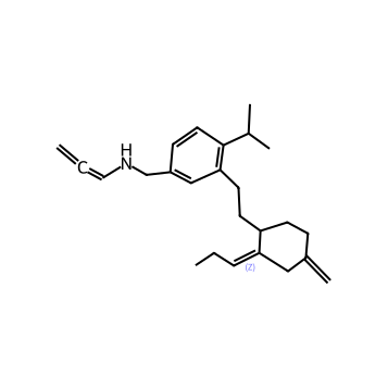 C=C=CNCc1ccc(C(C)C)c(CCC2CCC(=C)C/C2=C/CC)c1